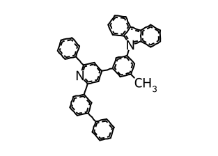 Cc1cc(-c2cc(-c3ccccc3)nc(-c3cccc(-c4ccccc4)c3)c2)cc(-n2c3ccccc3c3ccccc32)c1